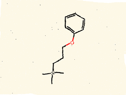 C[Si](C)(C)CCCOc1cc[c]cc1